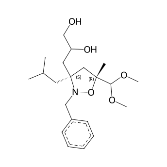 COC(OC)[C@@]1(C)C[C@](CC(C)C)(CC(O)CO)N(Cc2ccccc2)O1